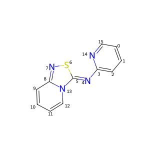 c1ccc(/N=c2\snc3ccccn23)nc1